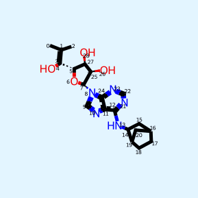 CC(C)=C(O)[C@H]1O[C@@H](n2cnc3c(NC4CC5CCC4C5)ncnc32)[C@H](O)[C@@H]1O